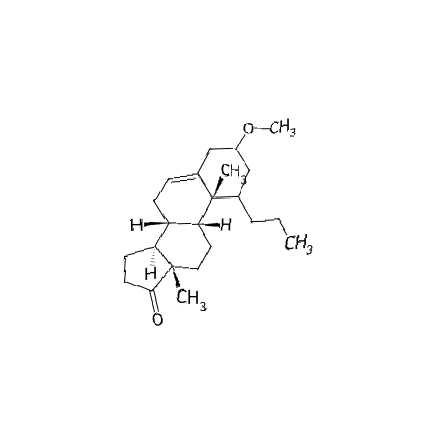 CCCC1CC(OC)CC2=CC[C@@H]3[C@@H](CC[C@]4(C)C(=O)CC[C@@H]34)[C@]21C